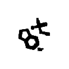 C1=Cc2ccccc2C1.CCOS(=O)([O-])=S.[Na+]